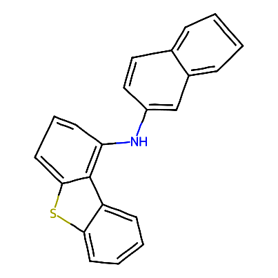 c1ccc2cc(Nc3cccc4sc5ccccc5c34)ccc2c1